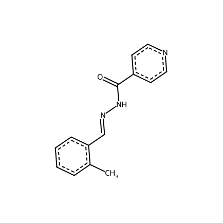 Cc1ccccc1/C=N/NC(=O)c1ccncc1